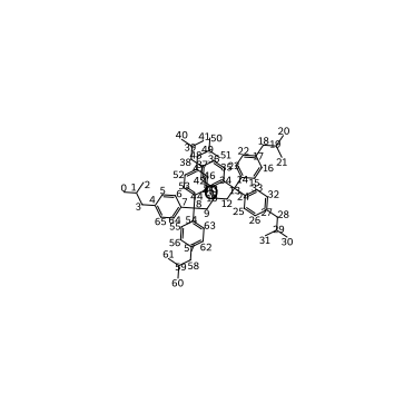 CC(C)Cc1ccc(C(CC(=O)CC(c2ccc(CC(C)C)cc2)(c2ccc(CC(C)C)cc2)c2ccc(CC(C)C)cc2)(c2ccc(CC(C)C)cc2)c2ccc(CC(C)C)cc2)cc1